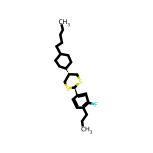 CCCCCC1CCC([C@H]2CS[C@H](c3ccc(CCC)c(F)c3)SC2)CC1